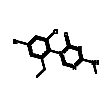 CCc1cc(Br)cc(Cl)c1-n1cnc(NC)nc1=O